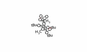 Cc1cc2c3c(c1)N(c1ccc(C(C)(C)C)cc1-c1ccccc1)c1cc(C(C)(C)C)ccc1B3c1ccc(N3c4ccccc4C4(c5ccccc5)Cc5ccccc5CC34C)cc1N2c1ccc(C(C)(C)C)cc1